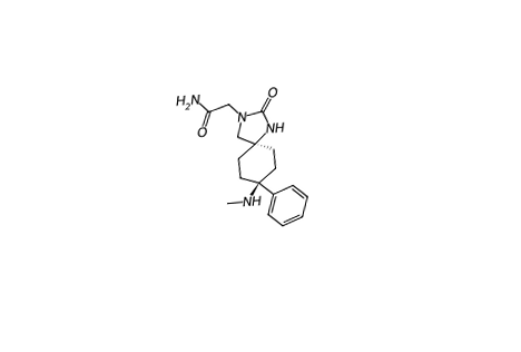 CN[C@]1(c2ccccc2)CC[C@]2(CC1)CN(CC(N)=O)C(=O)N2